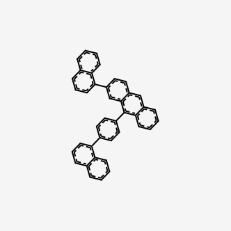 c1ccc2c(-c3ccc(-c4c5ccccc5cc5ccc(-c6cccc7ccccc67)cc45)cc3)cccc2c1